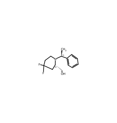 C[C@@H](c1ccccc1)N1CCC(F)(F)C[C@H]1CO